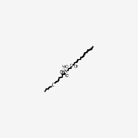 CCCCCCCCCCCC(=O)OCC(O)CNC(=O)C(=O)CCCCCCCCCCC